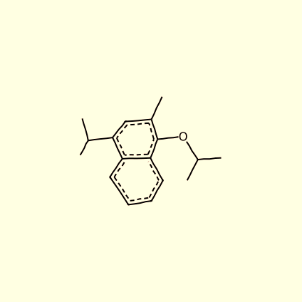 Cc1cc(C(C)C)c2ccccc2c1OC(C)C